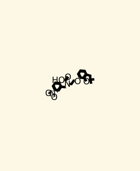 CC1(C)Cc2cccc(OCCN(Cc3cccc([N+](=O)[O-])c3)C(=O)O)c2O1